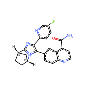 NC(=O)c1ccnc2ccc(-c3c(-c4ccc(F)cn4)nc4n3[C@@H]3CC[C@H]4C3)cc12